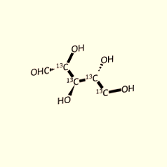 O=[13CH][13C@H](O)[13C@H](O)[13C@H](O)[13CH2]O